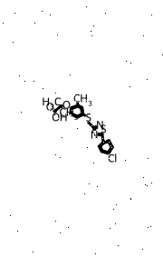 Cc1cc(SCc2nsc(-c3ccc(Cl)cc3)n2)ccc1OC(C)(C)C(=O)O